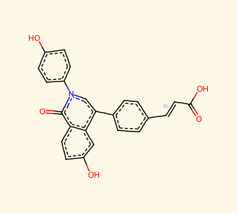 O=C(O)/C=C/c1ccc(-c2cn(-c3ccc(O)cc3)c(=O)c3ccc(O)cc23)cc1